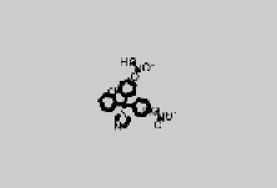 Clc1ccccc1C(c1ccccc1)(c1ccccc1)n1ccnc1.O=[N+]([O-])O.O=[N+]([O-])O